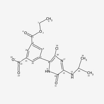 CCOC(=O)c1cc(-c2[nH]c(=O)c(NC(C)C)nc2Cl)cc([N+](=O)[O-])c1